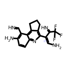 N=Cc1c(N)ccc2nc(/C(=C/N)C(=N)C(F)(F)F)c3c(c12)CCC3